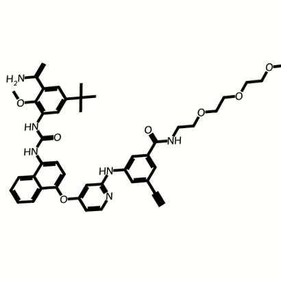 C#Cc1cc(Nc2cc(Oc3ccc(NC(=O)Nc4cc(C(C)(C)C)cc(C(=C)N)c4OC)c4ccccc34)ccn2)cc(C(=O)NCCOCCOCCOC)c1